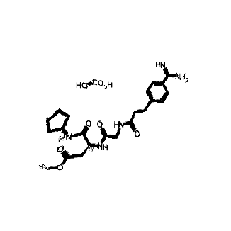 CC(C)(C)OC(=O)C[C@H](NC(=O)CNC(=O)CCc1ccc(C(=N)N)cc1)C(=O)NC1CCCC1.O=C(O)O